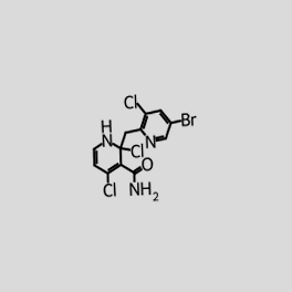 NC(=O)C1=C(Cl)C=CNC1(Cl)Cc1ncc(Br)cc1Cl